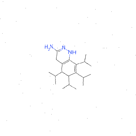 CC(C)C1=C(C(C)C)C(C(C)C)C(C(C)C)C2=C1NN=C(N)C2